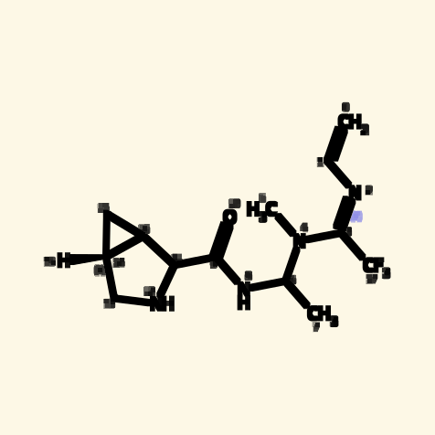 C=C/N=C(\N(C)C(C)NC(=O)C1NC[C@@H]2CC12)C(F)(F)F